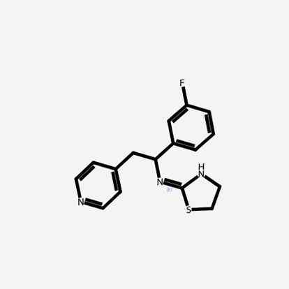 Fc1cccc(C(Cc2ccncc2)/N=C2\NCCS2)c1